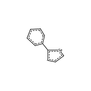 [c]1cc[se]c1-c1ccccc1